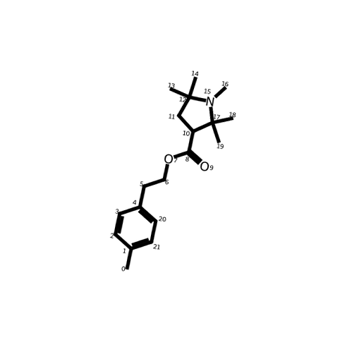 Cc1ccc(CCOC(=O)C2CC(C)(C)N(C)C2(C)C)cc1